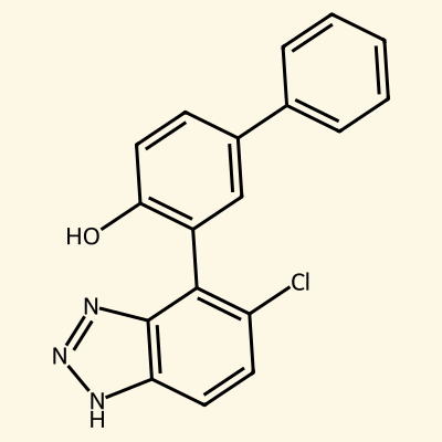 Oc1ccc(-c2ccccc2)cc1-c1c(Cl)ccc2[nH]nnc12